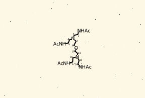 CC(=O)NCCN(CCNC(C)=O)CCOCCN(CCNC(C)=O)CCNC(C)=O